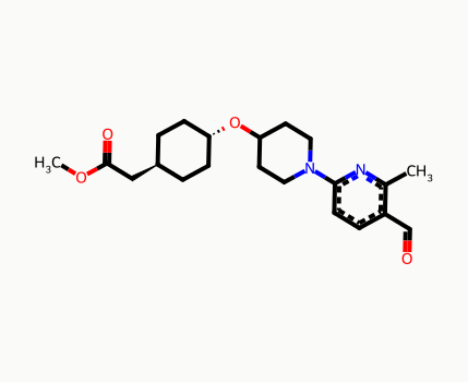 COC(=O)C[C@H]1CC[C@H](OC2CCN(c3ccc(C=O)c(C)n3)CC2)CC1